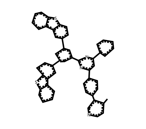 Cc1ccncc1-c1ccc(-c2cc(-c3ccccc3)nc(-c3cc(-c4ccc5sc6ccccc6c5c4)cc(-c4ccc5sc6ccccc6c5c4)c3)n2)cc1